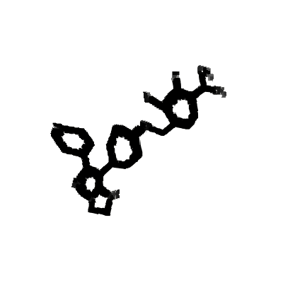 CC(C)c1ccc(COc2ccc(-c3c(-c4ccncc4)nn4c3NCC4)cc2)c(F)c1F